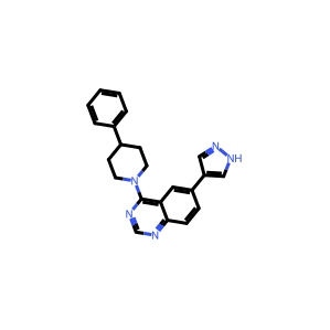 c1ccc(C2CCN(c3ncnc4ccc(-c5cn[nH]c5)cc34)CC2)cc1